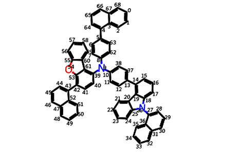 c1ccc2c(-c3ccc(N(c4ccc(-c5cccc6c5c5ccccc5n6-c5cccc6ccccc56)cc4)c4ccc(-c5cccc6ccccc56)c5oc6ccccc6c45)cc3)cccc2c1